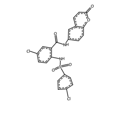 O=C(Nc1ccc2oc(=O)ccc2c1)c1cc(Cl)ccc1NS(=O)(=O)c1ccc(Cl)cc1